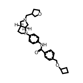 O=C(Nc1ccc(N2CC[C@@H]3CN(CC4CCOC4)C[C@@H]32)cc1)c1ccc(COC2CCC2)cc1